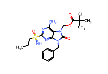 CCCS(=N)(=O)c1nc(N)c2c(n1)n(Cc1ccccc1)c(=O)n2COC(=O)C(C)(C)C